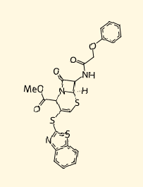 COC(=O)C1C(Sc2nc3ccccc3s2)=CS[C@@H]2C(NC(=O)COc3ccccc3)C(=O)N12